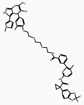 Cc1ccc(NC(=O)C2(c3ccc4c(c3)OC(F)(F)O4)CC2)nc1-c1cccc(C(=O)NCCOCCOCCOc2ccc(C3C(C#N)=C(N)Oc4n[nH]c(-c5ccn(C)c5)c43)cc2I)c1